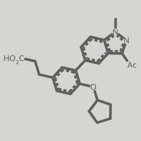 CC(=O)c1nn(C)c2ccc(-c3cc(CCC(=O)O)ccc3OC3CCCC3)cc12